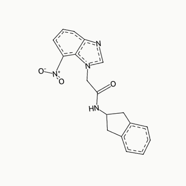 O=C(Cn1cnc2cccc([N+](=O)[O-])c21)NC1Cc2ccccc2C1